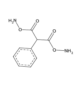 NOC(=O)C(C(=O)ON)c1ccccc1